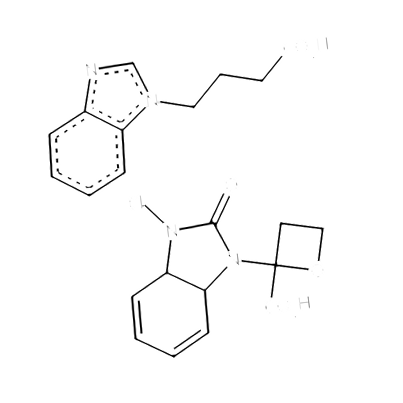 O=C(O)CCCn1cnc2ccccc21.O=C1N(Cl)C2C=CC=CC2N1C1(C(=O)O)CCO1